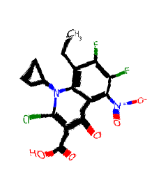 CCc1c(F)c(F)c([N+](=O)[O-])c2c(=O)c(C(=O)O)c(Cl)n(C3CC3)c12